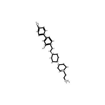 CCC[SiH]1CCC([C@H]2CC[C@H](CCc3ccc(-c4ccc(Cl)cc4)cc3F)CC2)CC1